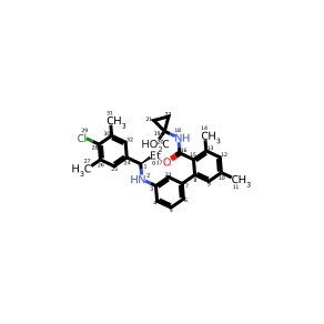 CC[C@@H](Nc1cccc(-c2cc(C)cc(C)c2C(=O)NC2(C(=O)O)CC2)c1)c1cc(C)c(Cl)c(C)c1